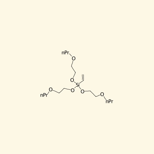 C=C[Si](OCCOCCC)(OCCOCCC)OCCOCCC